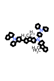 CC1(C)c2ccccc2-c2ccc(N(c3ccc(N(c4ccccc4)c4ccccc4)cc3)c3ccc4c(c3)C(C)(C)c3cc(-c5ccc6c(c5)c5ccccc5n6-c5cccc6ccccc56)ccc3-4)cc21